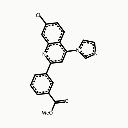 COC(=O)c1cccc(-c2cc(-n3ccnc3)c3ccc(Cl)cc3n2)c1